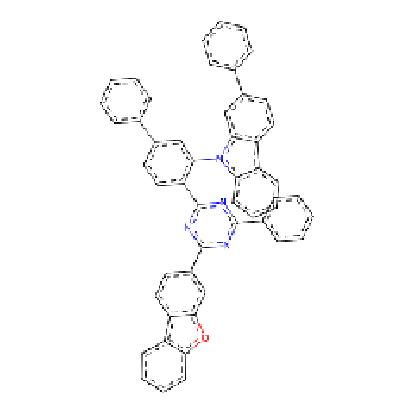 c1ccc(-c2ccc(-c3nc(-c4ccccc4)nc(-c4ccc5c(c4)oc4ccccc45)n3)c(-n3c4ccccc4c4ccc(-c5ccccc5)cc43)c2)cc1